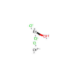 CCO.[Ce+3].[Cl-].[Cl-].[Cl-]